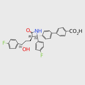 O=C(O)c1ccc(-c2ccc([C@@]3(c4ccc(F)cc4)NC(=O)[C@@H]3CC[C@H](O)c3ccc(F)cc3)cc2)cc1